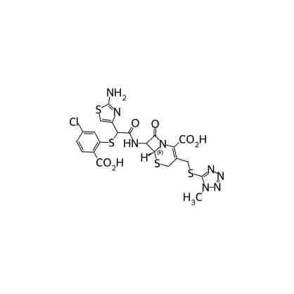 Cn1nnnc1SCC1=C(C(=O)O)N2C(=O)C(NC(=O)C(Sc3cc(Cl)ccc3C(=O)O)c3csc(N)n3)[C@H]2SC1